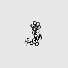 CCOC(=O)C(COC(=O)Oc1ccc(N(C)C(=O)c2ccccc2-c2ccc(C(F)(F)F)cc2)c(C(=O)N(C)C)c1)(C(=O)OCC)c1ccccc1